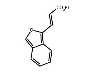 CCOC(=O)C=Cc1occ2ccccc12